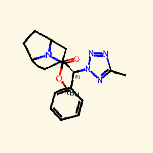 Cc1nnn([C@@H](c2ccccc2)C2CC3CCC(C2)N3C(=O)OC(C)(C)C)n1